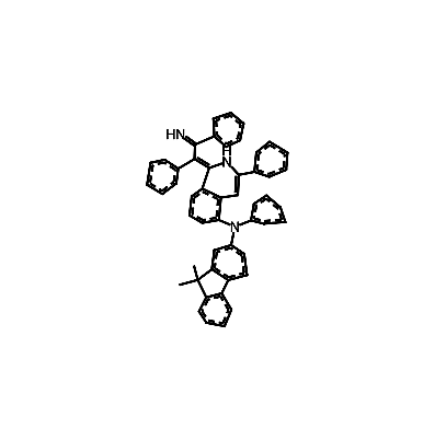 CC1(C)c2ccccc2-c2ccc(N(c3ccccc3)c3cccc4c3C=C(c3ccccc3)N/C4=C(\C(=N)c3ccccc3)c3ccccc3)cc21